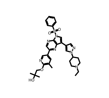 CCN1CCC(n2cc(-c3cn(S(=O)(=O)c4ccccc4)c4ncc(-c5cnc(OCC(C)(C)O)c(C)c5)nc34)cn2)CC1